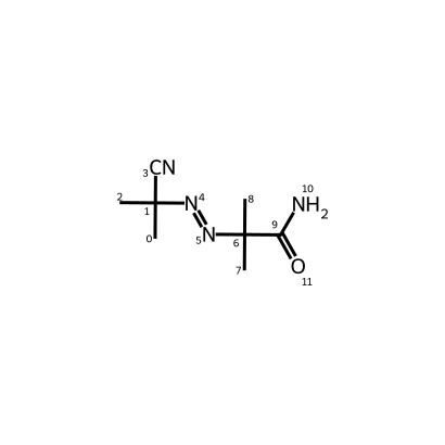 CC(C)(C#N)/N=N/C(C)(C)C(N)=O